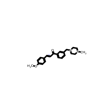 COc1ccc(/C=C/C(=O)c2cccc(CN3CCN(C)CC3)c2)cc1